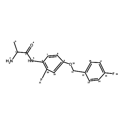 CC(N)C(=O)Nc1ccc(OCc2ccc(F)cc2)cc1F